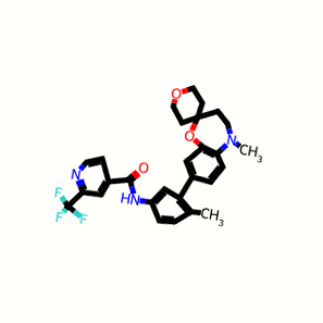 Cc1ccc(NC(=O)c2ccnc(C(F)(F)F)c2)cc1-c1ccc2c(c1)OC1(CCOCC1)CCN2C